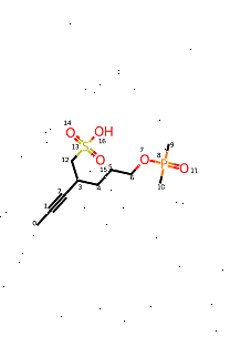 CC#CC(CCCOP(C)(C)=O)CS(=O)(=O)O